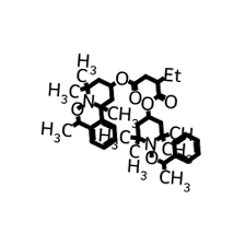 CCC(CC(=O)OC1CC(C)(C)N2OC(C)c3ccccc3C2(C)C1)C(=O)OC1CC(C)(C)N(OC(C)c2ccccc2)C(C)(C)C1